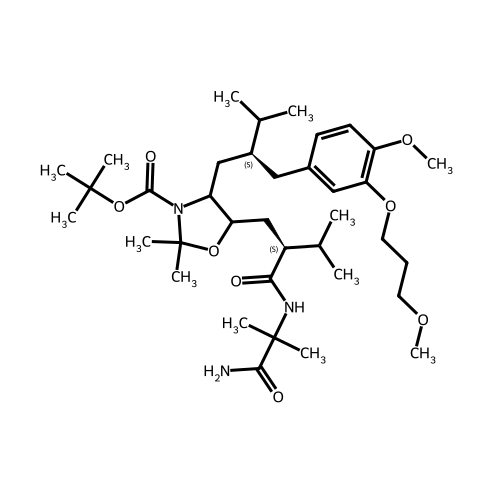 COCCCOc1cc(C[C@@H](CC2C(C[C@H](C(=O)NC(C)(C)C(N)=O)C(C)C)OC(C)(C)N2C(=O)OC(C)(C)C)C(C)C)ccc1OC